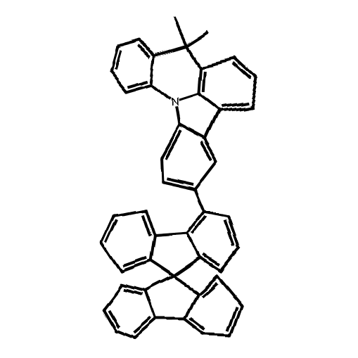 CC1(C)c2ccccc2-n2c3ccc(-c4cccc5c4-c4ccccc4C54c5ccccc5-c5ccccc54)cc3c3cccc1c32